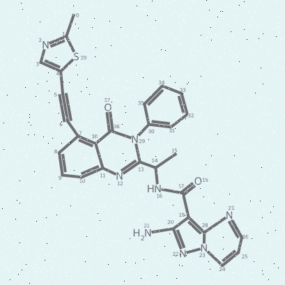 Cc1ncc(C#Cc2cccc3nc(C(C)NC(=O)c4c(N)nn5cccnc45)n(-c4ccccc4)c(=O)c23)s1